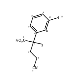 CC(CCC#N)(C(=O)O)c1cccc(I)c1